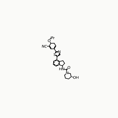 CC(C)OC1CC=C(c2ncc(-c3cccc4c3CCC4NC(=O)N3CCC[C@H](O)C3)s2)C=C1C#N